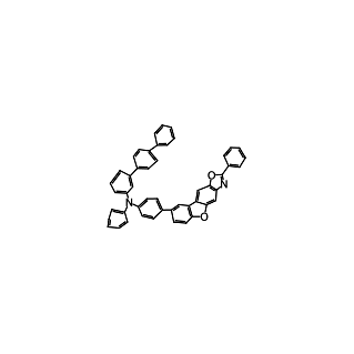 c1ccc(-c2ccc(-c3cccc(N(c4ccccc4)c4ccc(-c5ccc6oc7cc8nc(-c9ccccc9)oc8cc7c6c5)cc4)c3)cc2)cc1